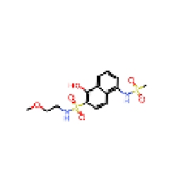 COCCNS(=O)(=O)c1ccc2c(NS(C)(=O)=O)cccc2c1O